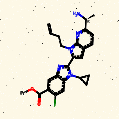 C=CCCn1c(-c2nc3cc(C(=O)OC(C)C)c(F)cc3n2C2CC2)cc2ccc([C@@H](C)N)nc21